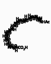 CC(=O)Nc1cn(C)c(C(=O)Nc2cc(C(=O)Nc3cc(C(=O)NCCC(=O)Nc4cn(C)c(C(=O)Nc5cc(C(=O)Nc6cc(C(=O)NCCCC(=O)Nc7cc(C(=O)Nc8cc(C(=O)Nc9cc(C(=O)NCCC(=O)Nc%10cc(C(=O)Nc%11cc(C(=O)NCCC(=O)O)n(C)c%11)n(C)c%10)n(C)c9)n(C)c8)n(C)c7)n(C)c6)n(C)c5)n4)n(C)c3)n(C)c2)n1